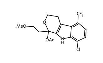 COCCC1(OC(C)=O)OCCc2c1[nH]c1c(Cl)ccc(C(F)(F)F)c21